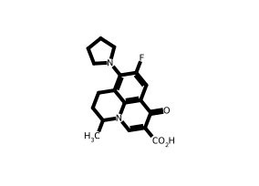 CC1CCc2c(N3CCCC3)c(F)cc3c(=O)c(C(=O)O)cn1c23